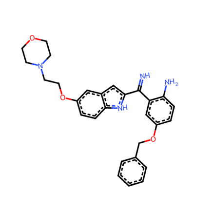 N=C(c1cc2cc(OCCN3CCOCC3)ccc2[nH]1)c1cc(OCc2ccccc2)ccc1N